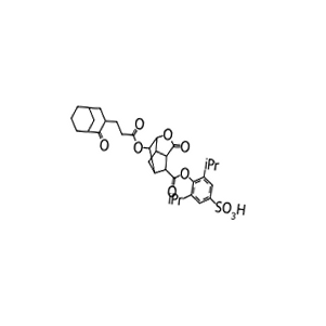 CC(C)c1cc(S(=O)(=O)O)cc(C(C)C)c1OC(=O)C1C2CC3C(OC(=O)C31)C2OC(=O)CCC1CC2CCCC(C2)C1=O